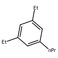 CCCc1cc(CC)cc(CC)c1